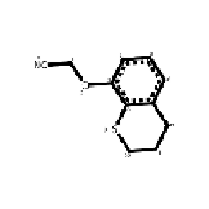 N#CCOc1cccc2c1SCCC2